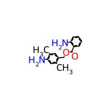 Cc1cc(COC(=O)c2ccccc2N)c(C)cc1N